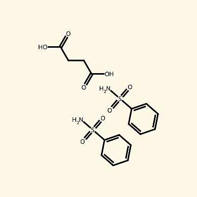 NS(=O)(=O)c1ccccc1.NS(=O)(=O)c1ccccc1.O=C(O)CCC(=O)O